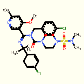 CCOc1cc(C(C)(C)C)ncc1/C(=N/C(C)(C)C1C=CC(Cl)=CC1)N(Cc1ccc(Cl)cc1)C(=O)N1CCN(S(=O)(=O)N(C)C)CC1